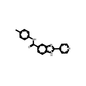 Cc1ccc(NC(=O)c2ccc3[nH]c(-c4ccncc4)nc3c2)cc1